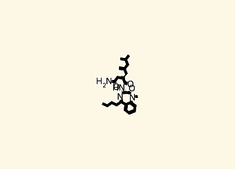 C=C(CC(C)C)C[C@H](CC(N)=O)C(=O)N[C@H]1N=C(CCCC)c2ccccc2N(C)C1=O